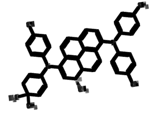 Cc1ccc(N(c2ccc(C#N)cc2)c2ccc3ccc4c5c3c2C=CC5[C@H](C)C=C4N(C2=CCC(C)(C)C=C2)c2ccc(C#N)cc2)cc1